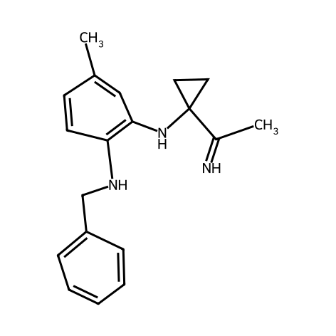 CC(=N)C1(Nc2cc(C)ccc2NCc2ccccc2)CC1